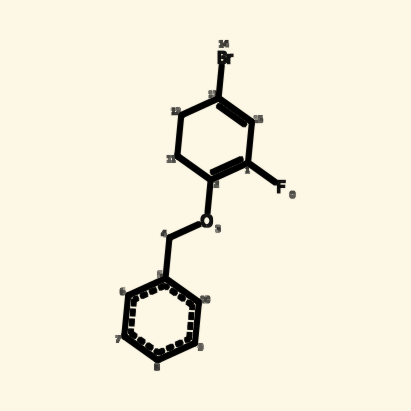 FC1=C(OCc2ccccc2)CCC(Br)=C1